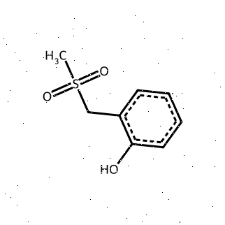 CS(=O)(=O)Cc1c[c]ccc1O